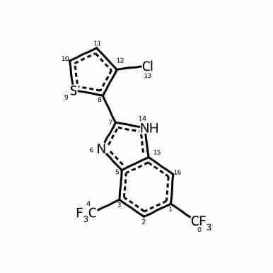 FC(F)(F)c1cc(C(F)(F)F)c2nc(-c3sccc3Cl)[nH]c2c1